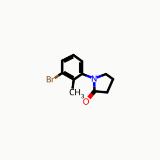 Cc1c(Br)cccc1N1CCCC1=O